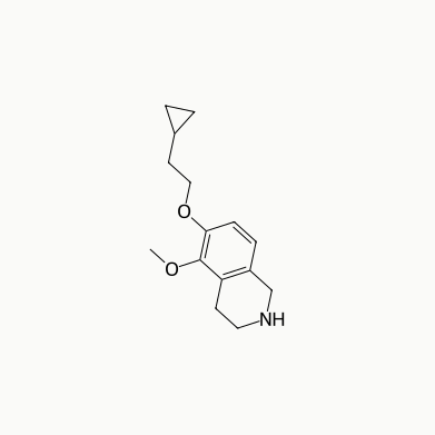 COc1c(OCCC2CC2)ccc2c1CCNC2